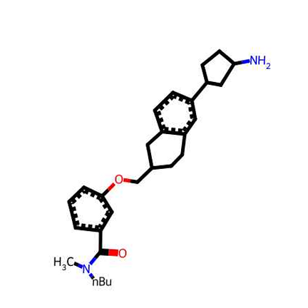 CCCCN(C)C(=O)c1cccc(OCC2CCc3cc(C4CCC(N)C4)ccc3C2)c1